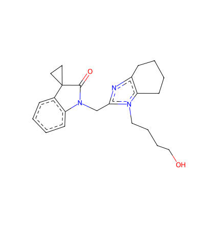 O=C1N(Cc2nc3c(n2CCCCO)CCCC3)c2ccccc2C12CC2